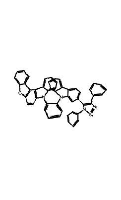 c1ccc(-c2nnn(-c3ccccc3)c2-c2ccc3c4ccccc4n(-c4ccccc4-n4c5ccccc5c5c6c(ccc54)oc4ccccc46)c3c2)cc1